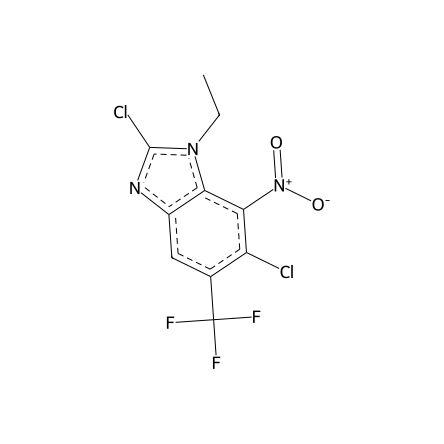 CCn1c(Cl)nc2cc(C(F)(F)F)c(Cl)c([N+](=O)[O-])c21